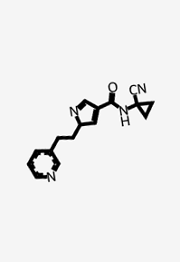 N#CC1(NC(=O)C2=CC(CCc3cccnc3)N=C2)CC1